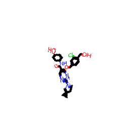 O=C(N[C@H]1CC[C@H](O)CC1)c1cnc(N2CCC3(CC3)C2)nc1OCc1ccc(CO)c(Cl)c1